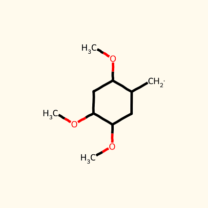 [CH2]C1CC(OC)C(OC)CC1OC